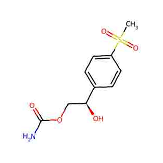 CS(=O)(=O)c1ccc([C@@H](O)COC(N)=O)cc1